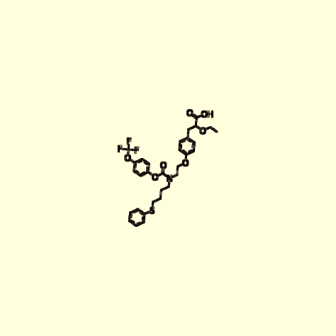 CCOC(Cc1ccc(OCCN(CCCCSc2ccccc2)C(=O)Oc2ccc(OC(F)(F)F)cc2)cc1)C(=O)O